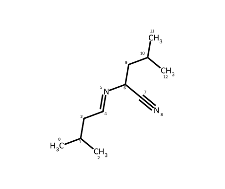 CC(C)CC=NC(C#N)CC(C)C